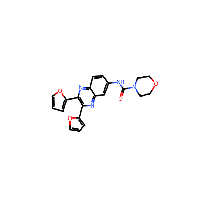 O=C(Nc1ccc2nc(-c3ccco3)c(-c3ccco3)nc2c1)N1CCOCC1